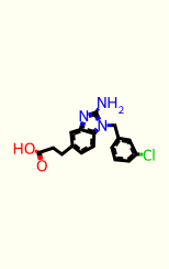 Nc1nc2cc(CCC(=O)O)ccc2n1Cc1cccc(Cl)c1